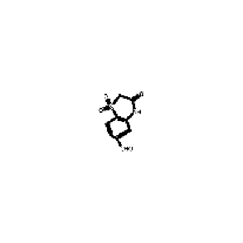 O=Cc1ccc2c(c1)NC(=O)CS2(=O)=O